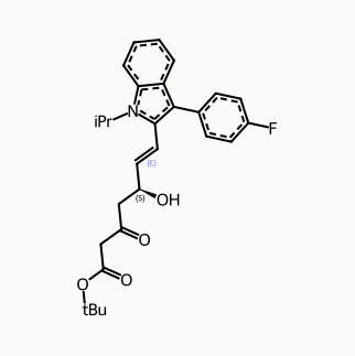 CC(C)n1c(/C=C/[C@@H](O)CC(=O)CC(=O)OC(C)(C)C)c(-c2ccc(F)cc2)c2ccccc21